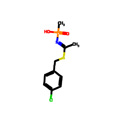 CC(=NP(C)(=O)O)SCc1ccc(Cl)cc1